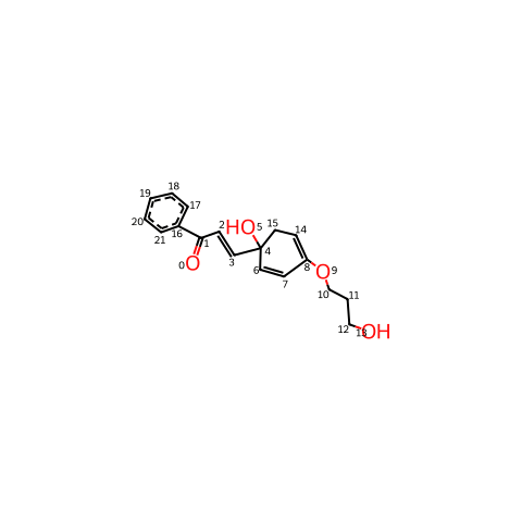 O=C(C=CC1(O)C=CC(OCCCO)=CC1)c1ccccc1